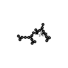 CC1(C)c2cc(-c3ccc4c(c3)c3ccccc3n4-c3ccccc3)ccc2-c2ccc(N(c3ccc(-c4ccccc4)cc3)c3ccc(-n4c5ccccc5c5c(-c6cccc(-c7ccc(N(c8ccc(-c9ccc(-c%10ccc%11c(c%10)c%10ccccc%10n%11-c%10ccccc%10)cc9)cc8)c8ccc(-n9c%10ccccc%10c%10ccccc%109)cc8)cc7)c6)cccc54)cc3)cc21